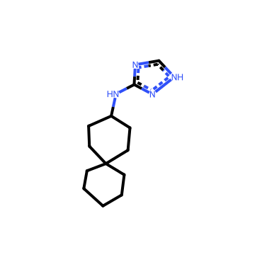 c1nc(NC2CCC3(CCCCC3)CC2)n[nH]1